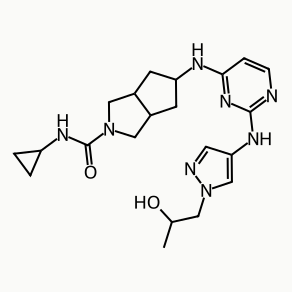 CC(O)Cn1cc(Nc2nccc(NC3CC4CN(C(=O)NC5CC5)CC4C3)n2)cn1